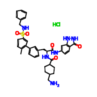 Cc1ccc(S(=O)(=O)NCc2ccccc2)cc1-c1cccc(C[C@H](NC(=O)C2CCC(CN)CC2)C(=O)Nc2ccc3c(=O)[nH][nH]c3c2)c1.Cl